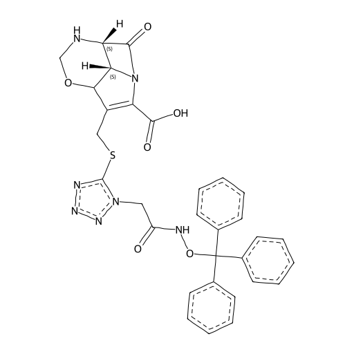 O=C(Cn1nnnc1SCC1=C(C(=O)O)N2C(=O)[C@H]3NCOC1[C@H]32)NOC(c1ccccc1)(c1ccccc1)c1ccccc1